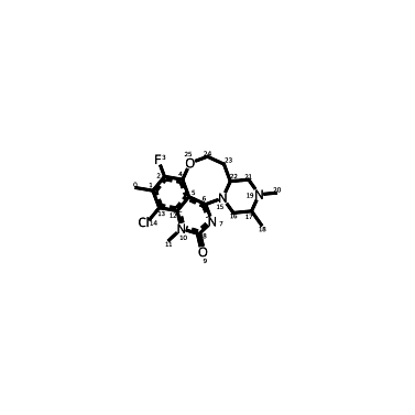 Cc1c(F)c2c3c(nc(=O)n(C)c3c1Cl)N1CC(C)N(C)CC1CCO2